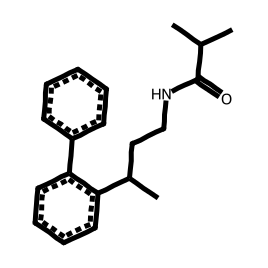 CC(C)C(=O)NCCC(C)c1ccccc1-c1ccccc1